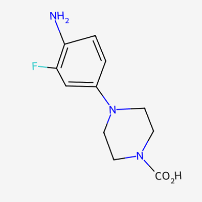 Nc1ccc(N2CCN(C(=O)O)CC2)cc1F